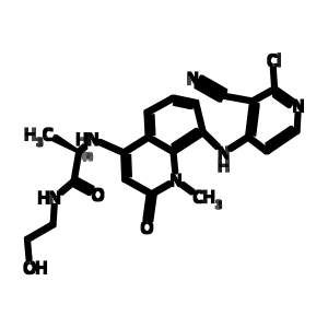 C[C@@H](Nc1cc(=O)n(C)c2c(Nc3ccnc(Cl)c3C#N)cccc12)C(=O)NCCO